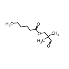 CCCCCC(=O)OCC(C)(C)C=O